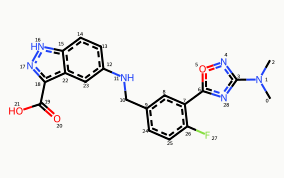 CN(C)c1noc(-c2cc(CNc3ccc4[nH]nc(C(=O)O)c4c3)ccc2F)n1